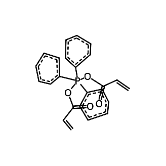 C=CC(=O)OP(OC(=O)C=C)(c1ccccc1)(c1ccccc1)c1ccccc1